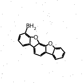 Bc1cccc2c1oc1c2ccc2c3ccccc3oc21